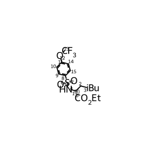 CCOC(=O)[C@@H](CC(C)CC)NS(=O)(=O)c1ccc(OC(F)(F)F)cc1